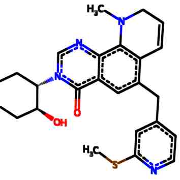 CSc1cc(Cc2cc3c(=O)n([C@H]4CCCC[C@@H]4O)cnc3c3c2C=CCN3C)ccn1